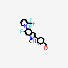 Cn1c(C2CCC(C=O)CC2)cc2cc(N3CC=CC=C3C(F)(F)F)c(F)cc21